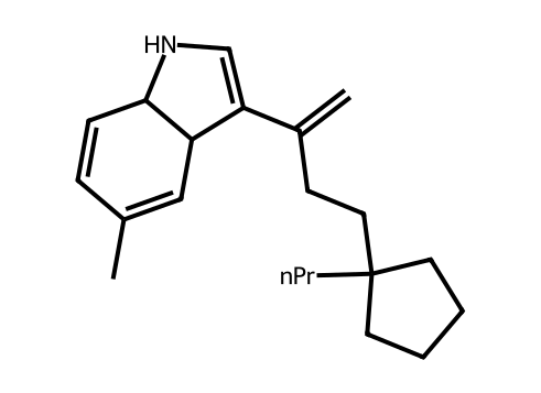 C=C(CCC1(CCC)CCCC1)C1=CNC2C=CC(C)=CC12